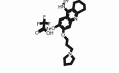 COc1cc2c(NC(C)C)c3c(nc2cc1OCCCN1CCCC1)CCCC3.O=C(O)C(F)(F)F